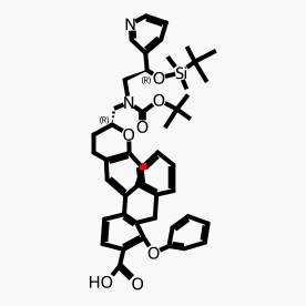 CC(C)(C)OC(=O)N(C[C@H]1CCc2cc(-c3ccc(C(=O)O)c(Oc4ccccc4)c3Cc3ccccc3)ccc2O1)C[C@H](O[Si](C)(C)C(C)(C)C)c1cccnc1